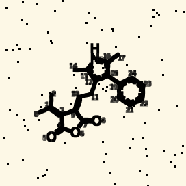 CC(C)=C1C(=O)OC(=O)C1=CCc1c(C)[nH]c(C)c1-c1ccccc1